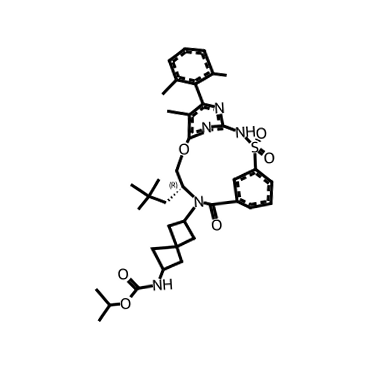 Cc1cccc(C)c1-c1nc2nc(c1C)OC[C@@H](CC(C)(C)C)N(C1CC3(CC(NC(=O)OC(C)C)C3)C1)C(=O)c1cccc(c1)S(=O)(=O)N2